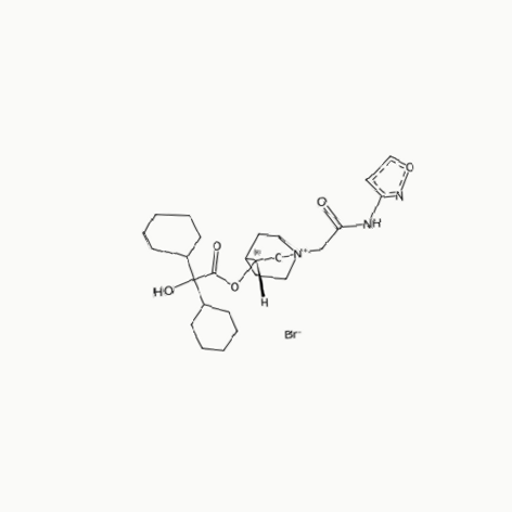 O=C(C[N+]12CCC(CC1)[C@@H](OC(=O)C(O)(C1CCCCC1)C1CCCCC1)C2)Nc1ccon1.[Br-]